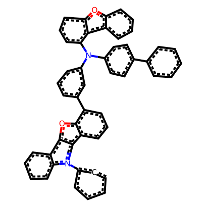 c1ccc(-c2ccc(N(c3cccc(-c4cccc5c4oc4c6ccccc6n(-c6ccccc6)c54)c3)c3cccc4oc5ccccc5c34)cc2)cc1